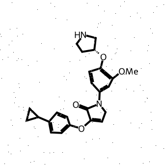 COc1cc(N2CC=C(Oc3ccc(C4CC4)cc3)C2=O)ccc1O[C@@H]1CCNC1